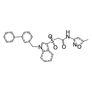 Cc1cc(NC(=O)CS(=O)(=O)c2cn(Cc3cccc(-c4ccccc4)c3)c3ccccc23)no1